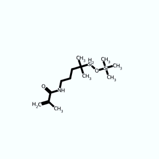 C=C(C)C(=O)NCCCC(C)(C)[SiH2]O[Si](C)(C)C